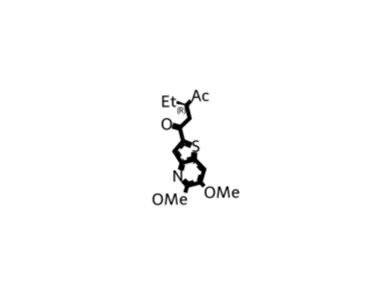 CC[C@H](CC(=O)c1cc2nc(OC)c(OC)cc2s1)C(C)=O